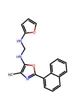 N#Cc1nc(-c2cccc3ccccc23)oc1NCNc1ccco1